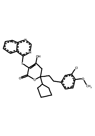 COc1ccc(CCC2(C3CCCC3)CC(O)=C(Sc3ncnc4ccccc34)C(=O)O2)cc1Cl